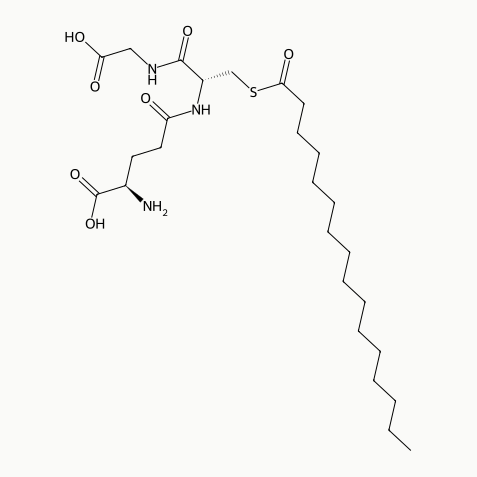 CCCCCCCCCCCCCCCC(=O)SC[C@H](NC(=O)CC[C@@H](N)C(=O)O)C(=O)NCC(=O)O